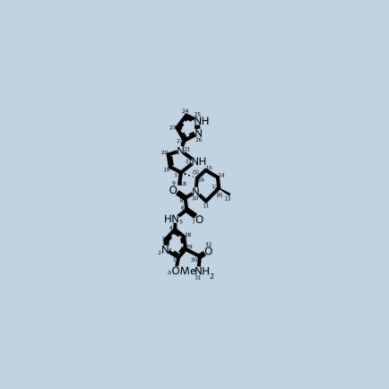 COc1ncc(NC(=O)C(=O)N2C[C@H](C)CC[C@H]2C2(C)C=CN(c3cc[nH]n3)N2)cc1C(N)=O